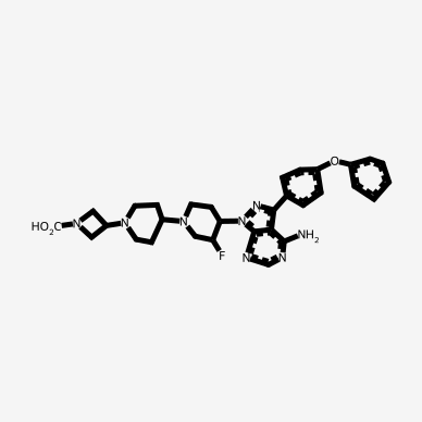 Nc1ncnc2c1c(-c1ccc(Oc3ccccc3)cc1)nn2C1CCN(C2CCN(C3CN(C(=O)O)C3)CC2)CC1F